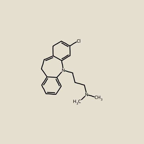 CN(C)CCCN1C2=CC(Cl)=CCC2=CCc2ccccc21